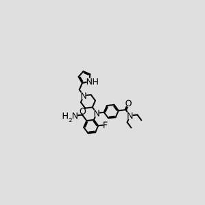 CCN(CC)C(=O)c1ccc(N(c2c(F)cccc2C(N)=O)C2CCN(Cc3ccc[nH]3)CC2)cc1